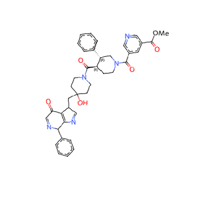 COC(=O)c1cncc(C(=O)N2CC[C@@H](C(=O)N3CCC(O)(CC4C=NC5=C4C(=O)C=NC5c4ccccc4)CC3)[C@H](c3ccccc3)C2)c1